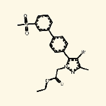 CCOC(=O)Cn1nc(C)c(Br)c1-c1ccc(-c2cccc(S(C)(=O)=O)c2)cc1